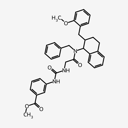 COC(=O)c1cccc(NC(=O)NCC(=O)N(Cc2ccccc2)C2c3ccccc3CCC2Cc2ccccc2OC)c1